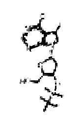 CC(C)(C)[Si](C)(C)O[C@@H]1C[C@H](n2cc(I)c3c(Cl)ncnc32)O[C@@H]1CO